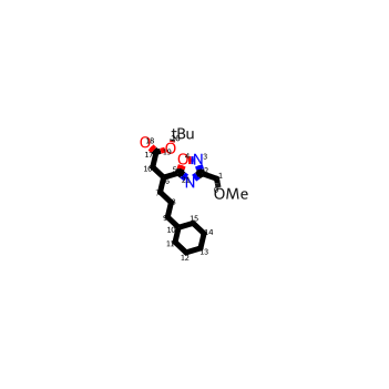 COCc1noc(C(CCCC2CCCCC2)CC(=O)OC(C)(C)C)n1